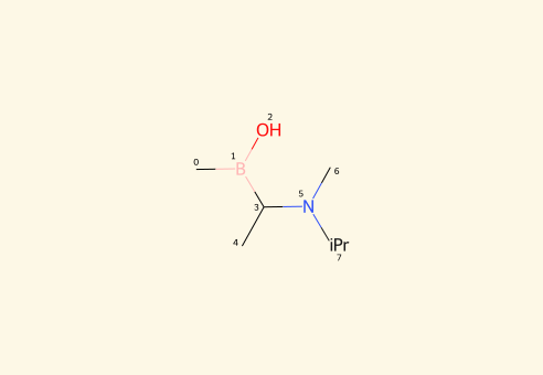 CB(O)C(C)N(C)C(C)C